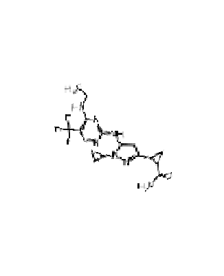 CCNc1nc(Nc2cc([C@H]3C[C@H]3C(N)=O)nn2C2CC2)ncc1C(F)(F)F